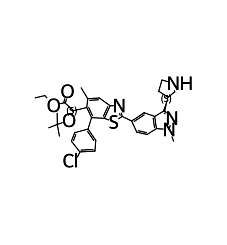 CCOC(=O)[C@@H](OC(C)(C)C)c1c(C)cc2nc(-c3ccc4c(c3)c([C@H]3CCNC3)nn4C)sc2c1-c1ccc(Cl)cc1